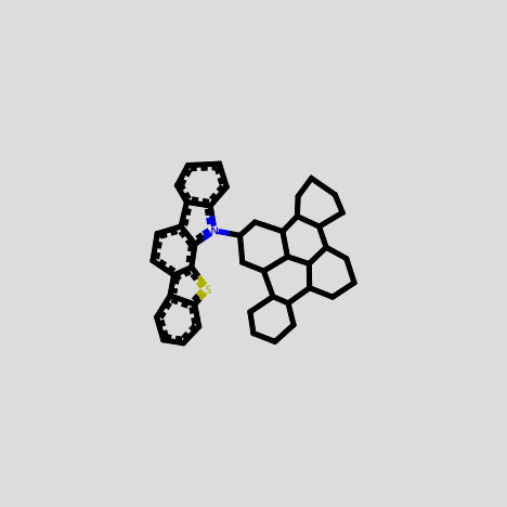 c1ccc2c(c1)sc1c2ccc2c3ccccc3n(C3CC4C5CCCCC5C5CCCC6C7CCCCC7C(C3)C4C56)c21